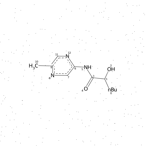 CCCCC(O)C(=O)Nc1cnc(C)cn1